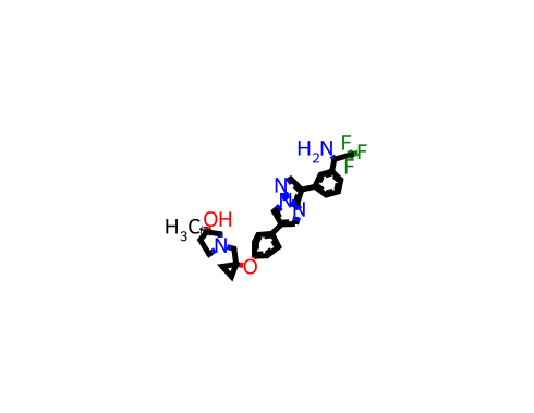 C[C@@]1(O)CCN(CC2(Oc3ccc(-c4cnc5c(-c6cccc(C(N)C(F)(F)F)c6)cnn5c4)cc3)CC2)C1